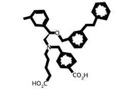 CC1C=CC=C([C@H](CN(CCCCC(=O)O)Cc2ccc(C(=O)O)cc2)OCc2cccc(CCc3ccccc3)c2)C1